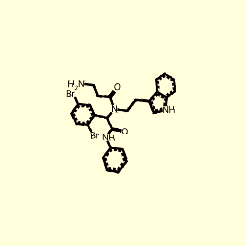 NCCC(=O)N(CCc1c[nH]c2ccccc12)C(C(=O)Nc1ccccc1)c1cc(Br)ccc1Br